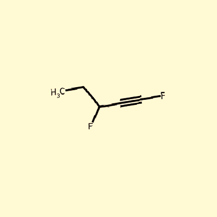 CCC(F)C#CF